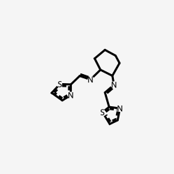 C(=NC1CCCCC1N=Cc1nccs1)c1nccs1